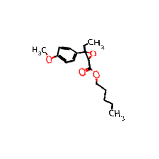 CCCCCOC(=O)C1OC1(CC)c1ccc(OC)cc1